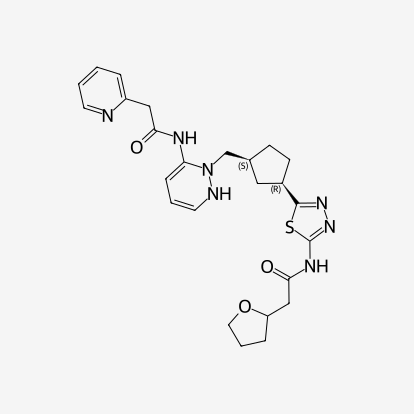 O=C(Cc1ccccn1)NC1=CC=CNN1C[C@H]1CC[C@@H](c2nnc(NC(=O)CC3CCCO3)s2)C1